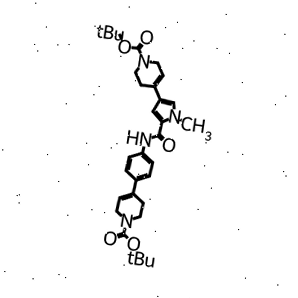 Cn1cc(C2=CCN(C(=O)OC(C)(C)C)CC2)cc1C(=O)Nc1ccc(C2=CCN(C(=O)OC(C)(C)C)CC2)cc1